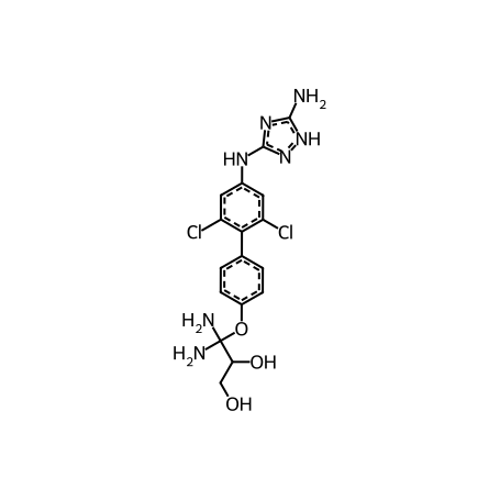 Nc1nc(Nc2cc(Cl)c(-c3ccc(OC(N)(N)C(O)CO)cc3)c(Cl)c2)n[nH]1